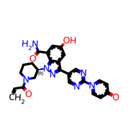 C=CC(=O)N1CCC[C@@H](n2nc(-c3cnc(-n4ccc(=O)cc4)nc3)c3cc(O)cc(C(N)=O)c32)C1